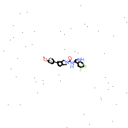 COc1ccc(-c2ccc3c(c2)CN(C(=O)Nc2c[nH]c4cc(F)c(F)cc24)C3)cc1